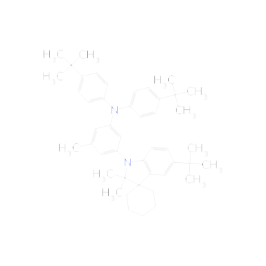 Cc1cc(N(c2ccc(C(C)(C)C)cc2)c2ccc(C(C)(C)C)cc2)cc(N2c3ccc(C(C)(C)C)cc3C3(CCCCC3)C2(C)C)c1